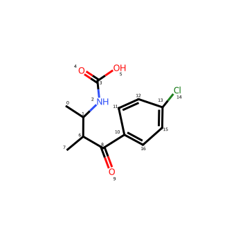 CC(NC(=O)O)C(C)C(=O)c1ccc(Cl)cc1